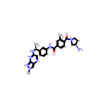 CCn1cc2ncc(N[C@@H](C)c3cccc(NC(=O)c4ccc(C(=O)N5CC[C@@H](N)C5)c(C)c4)c3)nc2n1